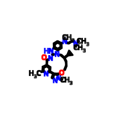 Cc1cc2cc(n1)-c1cnn(C)c1OCCCC(C1CC1)CN1/C(=N/C2=O)Nc2ccc(N(C)CCN(C)C)cc21